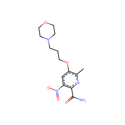 Cc1nc(C(N)=O)c([N+](=O)[O-])cc1OCCCN1CCOCC1